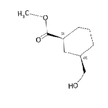 COC(=O)[C@H]1CCC[C@@H](CO)C1